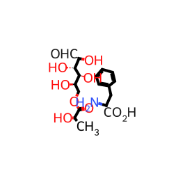 CC(O)C(=O)OC[C@@H](O)[C@@H](O)[C@H](O)[C@@H](O)C=O.N[C@@H](Cc1ccccc1)C(=O)O